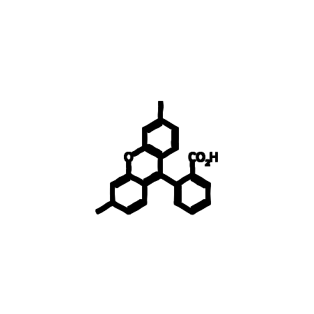 Cc1ccc2c(c1)OC1=CC(C)C=CC1=C2c1ccccc1C(=O)O